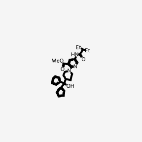 CCC(CC)C(=O)Nc1cnc(N2CCC(C(O)(c3ccccc3)c3ccccc3)CC2)c(C(=O)OC)c1